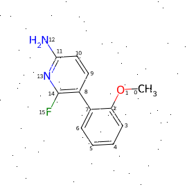 COc1ccccc1-c1ccc(N)nc1F